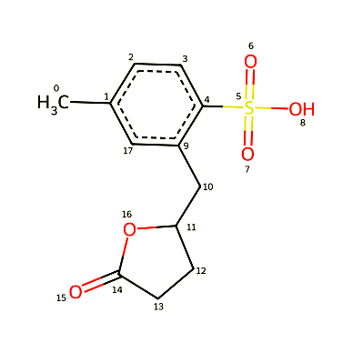 Cc1ccc(S(=O)(=O)O)c(CC2CCC(=O)O2)c1